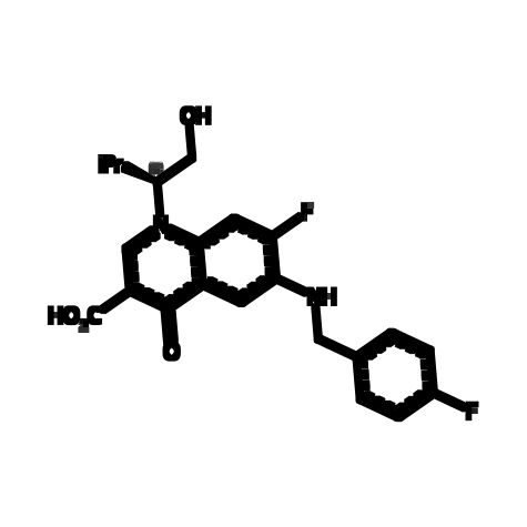 CC(C)[C@@H](CO)n1cc(C(=O)O)c(=O)c2cc(NCc3ccc(F)cc3)c(F)cc21